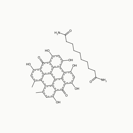 Cc1cc(O)c2c(=O)c3c(O)cc(O)c4c5c(O)cc(O)c6c(=O)c7c(O)cc(C)c8c1c2c(c34)c(c78)c65.NC(=O)CCCCCCCCC(N)=O